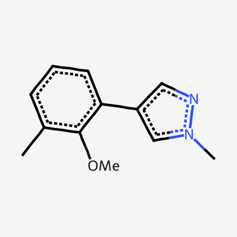 COc1c(C)cccc1-c1cnn(C)c1